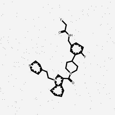 O=C(CF)NCc1ccc(F)c(C2CCN(C(=O)c3cn(CCc4ccncc4)c4ccccc34)CC2)c1